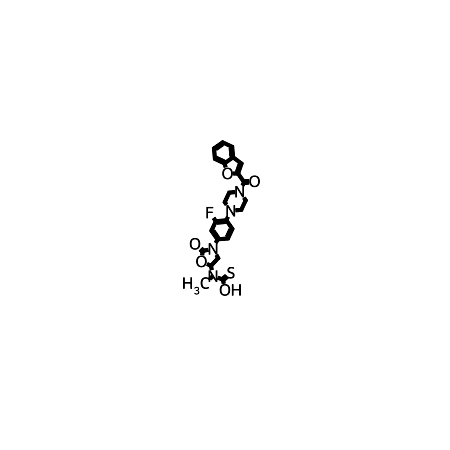 CN(C(O)=S)C1CN(c2ccc(N3CCN(C(=O)c4cc5ccccc5o4)CC3)c(F)c2)C(=O)O1